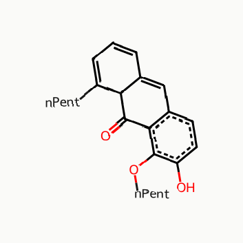 CCCCCOc1c(O)ccc2c1C(=O)C1C(=C2)C=CC=C1CCCCC